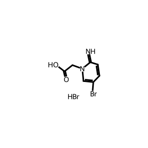 Br.N=c1ccc(Br)cn1CC(=O)O